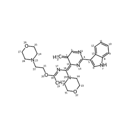 C=c1cnc(-c2c[nH]c3ccccc23)n/c1=C(/N=C(\C)OCCN1CCOCC1)N1CCOCC1